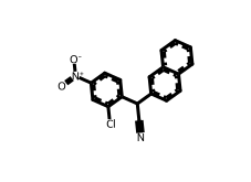 N#CC(c1ccc2ccccc2c1)c1ccc([N+](=O)[O-])cc1Cl